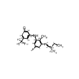 CCN(C)C=Nc1cc(F)cc(Nc2cc(Cl)cc(C(F)(F)F)c2)c1C